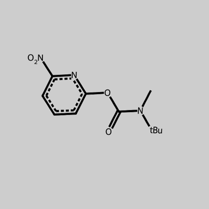 CN(C(=O)Oc1cccc([N+](=O)[O-])n1)C(C)(C)C